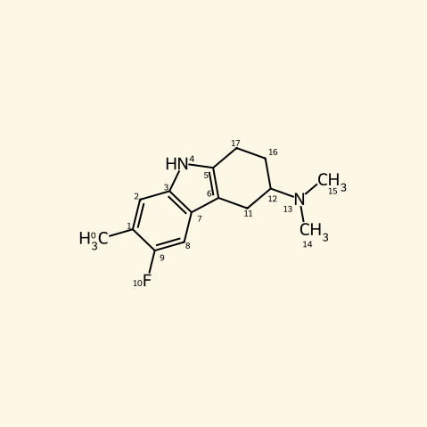 Cc1cc2[nH]c3c(c2cc1F)CC(N(C)C)CC3